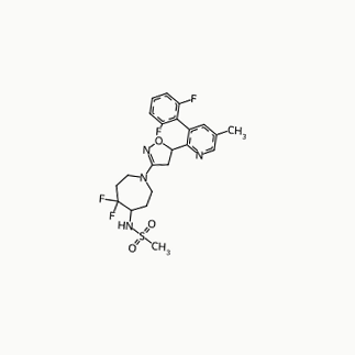 Cc1cnc(C2CC(N3CCC(NS(C)(=O)=O)C(F)(F)CC3)=NO2)c(-c2c(F)cccc2F)c1